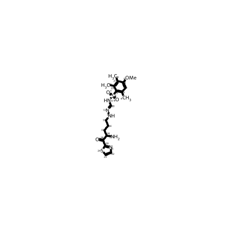 COc1cc(C)c(S(=O)(=O)NC=NNCCCC(N)C(=O)c2nccs2)c(C)c1C